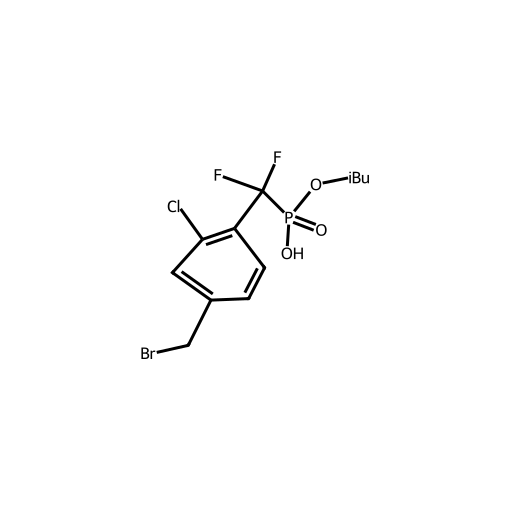 CCC(C)OP(=O)(O)C(F)(F)c1ccc(CBr)cc1Cl